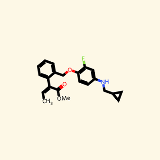 CC=C(C(=O)OC)c1ccccc1COc1ccc(NCC2CC2)cc1F